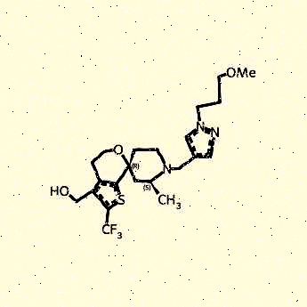 COCCCn1cc(CN2CC[C@]3(C[C@@H]2C)OCCc2c3sc(C(F)(F)F)c2CO)cn1